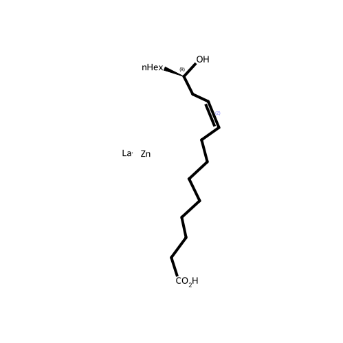 CCCCCC[C@@H](O)C/C=C\CCCCCCCC(=O)O.[La].[Zn]